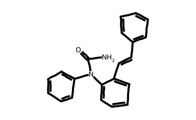 NC(=O)N(c1ccccc1)c1ccccc1/C=C/c1ccccc1